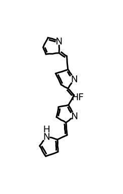 C1=CC(=CC2=NC(=CC3=NC(=Cc4ccc[nH]4)C=C3)C=C2)N=C1.F